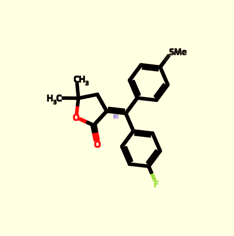 CSc1ccc(/C(=C2\CC(C)(C)OC2=O)c2ccc(F)cc2)cc1